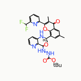 Cc1cc([C@@H](C)Nc2cccnc2C(=O)NNC(=O)OC(C)(C)C)c2oc(-c3cccc(C(F)F)n3)c(C)c(=O)c2c1